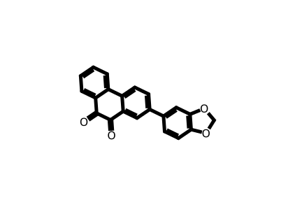 O=C1C(=O)c2cc(-c3ccc4c(c3)OCO4)ccc2-c2ccccc21